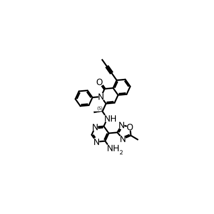 CC#Cc1cccc2cc([C@H](C)Nc3ncnc(N)c3-c3noc(C)n3)n(-c3ccccc3)c(=O)c12